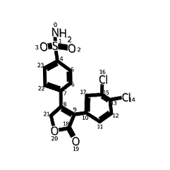 NS(=O)(=O)c1ccc(C2=C(c3ccc(Cl)c(Cl)c3)C(=O)OC2)cc1